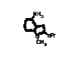 CCCc1cc2c(N)cccc2n1C